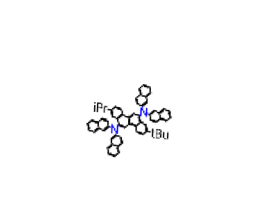 CC(C)c1ccc2c(c1)c(N(c1ccc3ccccc3c1)c1ccc3ccccc3c1)cc1c3ccc(C(C)(C)C)cc3c(N(c3ccc4ccccc4c3)c3ccc4ccccc4c3)cc21